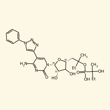 CCC(C)(C[C@H]1O[C@@H](n2cc(-c3cn(-c4ccccc4)nn3)c(N)nc2=O)[C@@H](O)C1O)OP(=O)(O)C(C)(O)CC